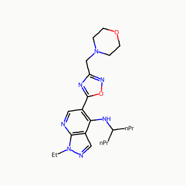 CCCC(CCC)Nc1c(-c2nc(CN3CCOCC3)no2)cnc2c1cnn2CC